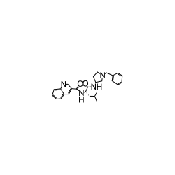 CC(C)C[C@H](NC(=O)c1cnc2ccccc2c1)C(=O)N[C@@H]1CCN(Cc2ccccc2)C1